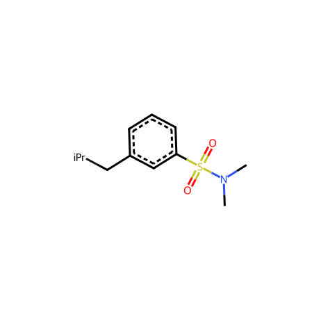 CC(C)Cc1cccc(S(=O)(=O)N(C)C)c1